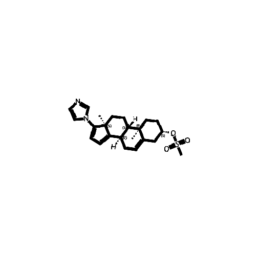 C[C@]12CC[C@H]3[C@@H](CC=C4C[C@@H](OS(C)(=O)=O)CC[C@@]43C)C1=CC=C2n1ccnc1